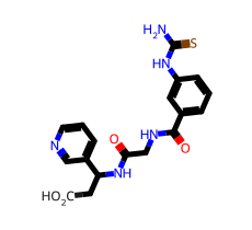 NC(=S)Nc1cccc(C(=O)NCC(=O)NC(CC(=O)O)c2cccnc2)c1